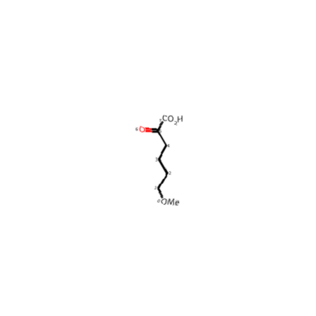 COCCCCC(=O)C(=O)O